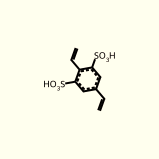 C=Cc1cc(S(=O)(=O)O)c(C=C)c(S(=O)(=O)O)c1